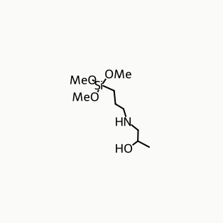 CO[Si](CCCNCC(C)O)(OC)OC